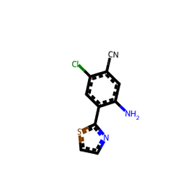 N#Cc1cc(N)c(-c2nccs2)cc1Cl